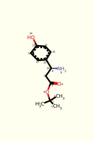 CC(C)(C)OC(=O)C[C@H](N)c1ccc(O)cc1